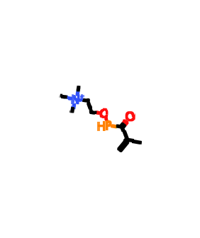 C=C(C)C(=O)POCC[N+](C)(C)C